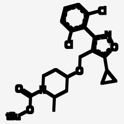 CC1CC(OCc2c(-c3c(Cl)cccc3Cl)noc2C2CC2)CCN1C(=O)OC(C)(C)C